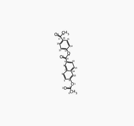 CC(=O)Oc1ccc2cc(C(=O)Oc3ccc(C(C)=O)cc3)ccc2c1